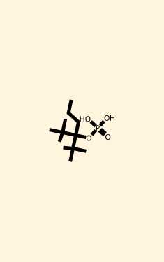 CCCC(OP(=O)(O)O)(C(C)(C)C)C(C)(C)C